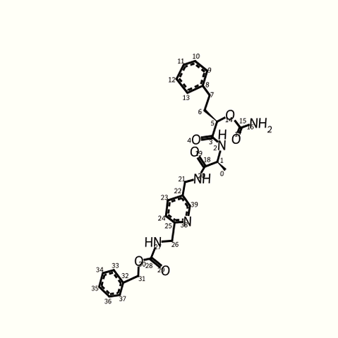 C[C@H](NC(=O)[C@@H](CCc1ccccc1)OC(N)=O)C(=O)NCc1ccc(CNC(=O)OCc2ccccc2)nc1